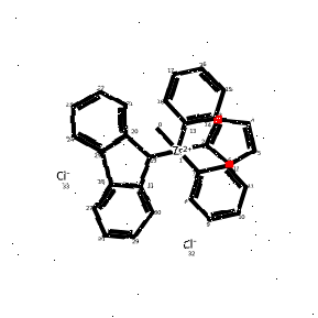 [CH3][Zr+2]([C]1=CC=CC1)([c]1ccccc1)([c]1ccccc1)[CH]1c2ccccc2-c2ccccc21.[Cl-].[Cl-]